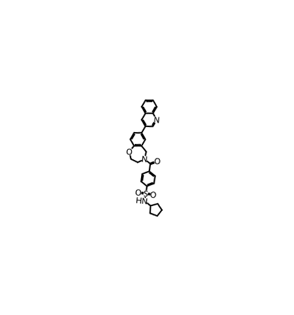 O=C(c1ccc(S(=O)(=O)NC2CCCC2)cc1)N1CCOc2ccc(-c3cnc4ccccc4c3)cc2C1